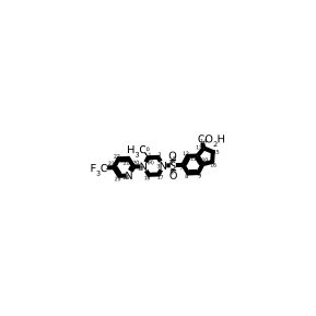 C[C@@H]1CN(S(=O)(=O)c2ccc3c(c2)C(C(=O)O)CC3)CCN1c1ccc(C(F)(F)F)cn1